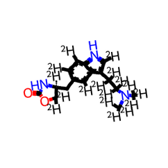 [2H]c1[nH]c2c([2H])c([2H])c(C[C@]3([2H])NC(=O)OC3([2H])[2H])c([2H])c2c1C([2H])([2H])C([2H])([2H])N(C([2H])([2H])[2H])C([2H])([2H])[2H]